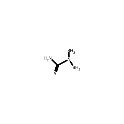 BN(B)C(N)=S